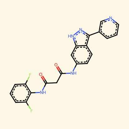 O=C(CC(=O)Nc1c(F)cccc1F)Nc1ccc2c(-c3cccnc3)n[nH]c2c1